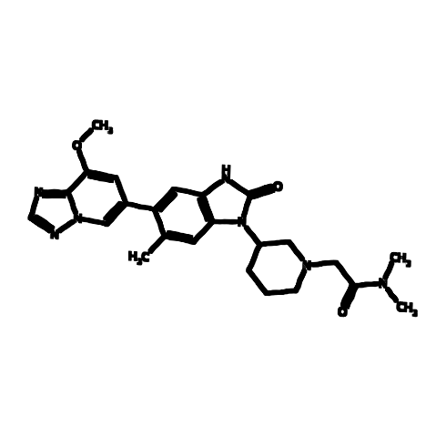 COc1cc(-c2cc3[nH]c(=O)n(C4CCCN(CC(=O)N(C)C)C4)c3cc2C)cn2ncnc12